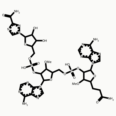 COC1C(CCC(N)=O)OC(n2cnc3c(N)ncnc32)C1OP(=O)(O)OCC1OC(n2cnc3c(N)ncnc32)C(OP(=O)(O)OCC2OC(n3cnc(C(N)=O)n3)C(O)C2O)C1OC